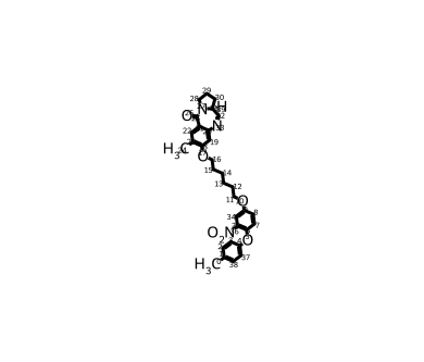 Cc1ccc(Oc2ccc(OCCCCCCOc3cc4c(cc3C)C(=O)N3CCC[C@H]3C=N4)cc2[N+](=O)[O-])cc1